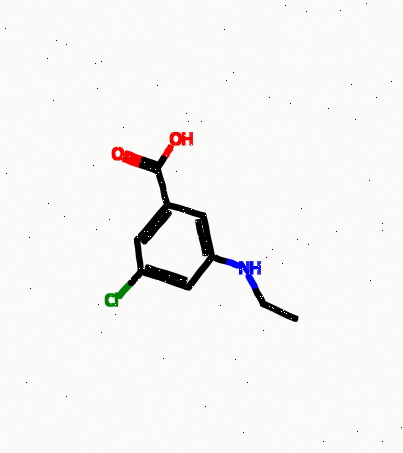 CCNc1cc(Cl)cc(C(=O)O)c1